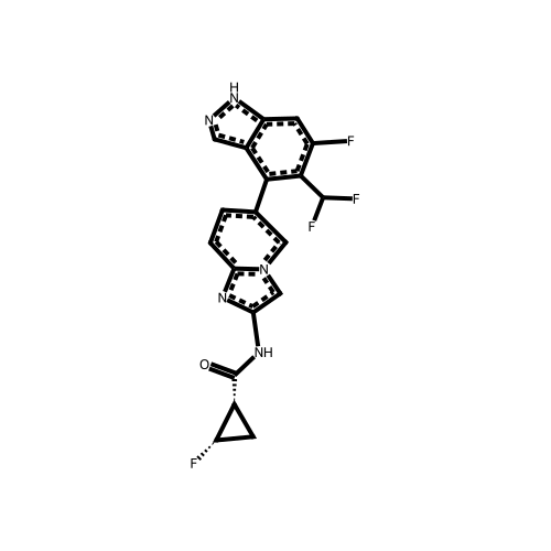 O=C(Nc1cn2cc(-c3c(C(F)F)c(F)cc4[nH]ncc34)ccc2n1)[C@@H]1C[C@@H]1F